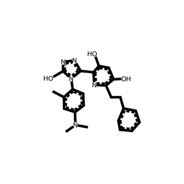 Cc1cc(N(C)C)ccc1-n1c(O)nnc1-c1nc(CCc2ccccc2)c(O)cc1O